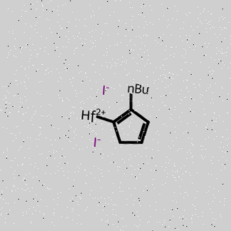 CCCCC1=[C]([Hf+2])CC=C1.[I-].[I-]